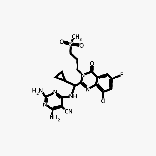 CS(=O)(=O)CCCn1c(C(Nc2nc(N)nc(N)c2C#N)C2CC2)nc2c(Cl)cc(F)cc2c1=O